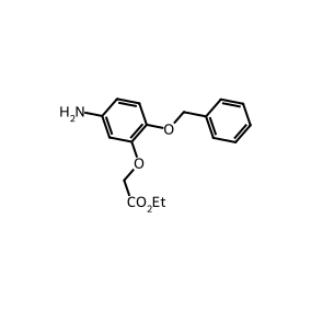 CCOC(=O)COc1cc(N)ccc1OCc1ccccc1